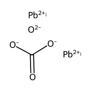 O=C([O-])[O-].[O-2].[Pb+2].[Pb+2]